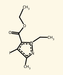 CCOC(=O)c1c(I)c(C)nn1CC